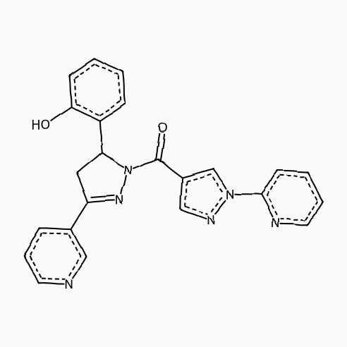 O=C(c1cnn(-c2ccccn2)c1)N1N=C(c2cccnc2)CC1c1ccccc1O